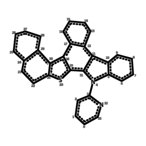 c1ccc(-n2c3ccccc3c3c4ccccc4c4c(sc5ccc6ccccc6c54)c32)nc1